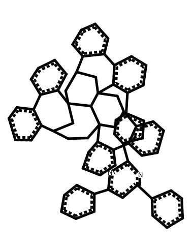 c1ccc(-c2cc(-c3ccccc3)nc(-c3ccc(-c4cccc5c4C46CC7CC8(CCC9CC(CC(C4)c4ccccc4-5)(c4ccccc4-c4ccccc49)C86)c4ccccc4-c4ccccc47)cc3)n2)cc1